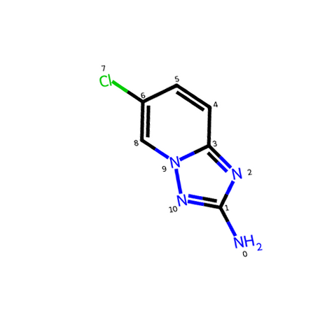 Nc1nc2ccc(Cl)cn2n1